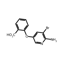 Nc1ncc(Oc2ccccc2C(=O)O)cc1Br